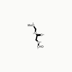 COCOC(=O)CO[C]=O